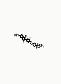 CCCc1ccc2c(F)c(-c3ccc(COC4CCC(C(F)(F)OC(F)(F)F)CC4)c(F)c3)c(F)cc2c1